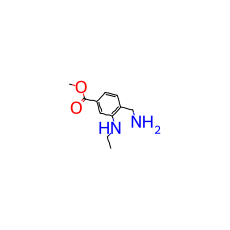 CCNc1cc(C(=O)OC)ccc1CN